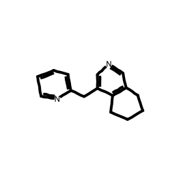 c1ccc(Cc2cncc3c2CCCC3)nc1